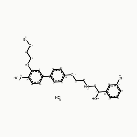 CCOCCOc1cc(-c2ccc(OCCNC[C@H](O)c3cccc(O)c3)cc2)ccc1C(=O)O.Cl